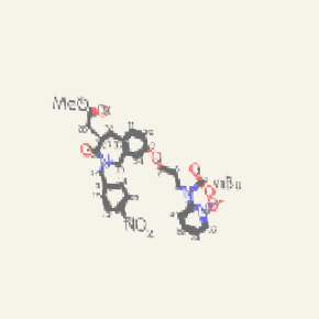 CCCCOC(=O)N(CCCOc1ccc2c(c1)CN(Cc1ccc([N+](=O)[O-])cc1)C(=O)[C@@H](CC(=O)OC)C2)c1cccc[n+]1[O-]